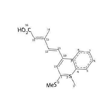 CSC1=S(C)c2ccccc2C(/C=C/C(C)=C/C(=O)O)=C1